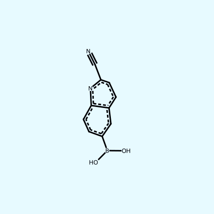 N#Cc1ccc2cc(B(O)O)ccc2n1